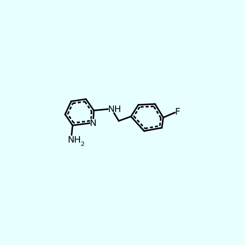 Nc1cccc(NCc2ccc(F)cc2)n1